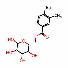 Cc1cc(C(=O)OC[C@H]2OC(O)[C@H](O)[C@@H](O)[C@@H]2O)ccc1C(C)(C)C